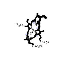 C=CC1=C(C)/C2=C/c3c(C=C)c(C)c4[n]3[Fe]([Cl])[n]3/c(c(C)c(CCC(=O)O)/c3=C/C3=NC(=C\4)/C(C)=C3CCC(=O)O)=C\C1=N2.O